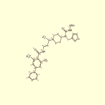 CONC(=O)N(Cc1ccsc1)C1CCN(C(C)CCNC(=O)c2c(C)cc(-c3cncnc3)nc2C)CC1